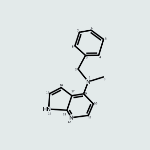 CN(Cc1ccccc1)c1ccnc2[nH]ccc12